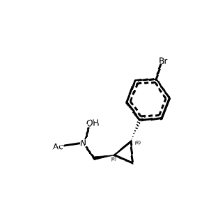 CC(=O)N(O)C[C@@H]1C[C@H]1c1ccc(Br)cc1